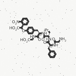 CC(C)C[C@H](NC(=O)[C@H](Cc1ccccc1)NC(=O)CN)C(=O)N[C@H](Cc1ccc(OC(C(=O)O)c2ccccc2[N+](=O)[O-])cc1)C(=O)NCC(=O)O